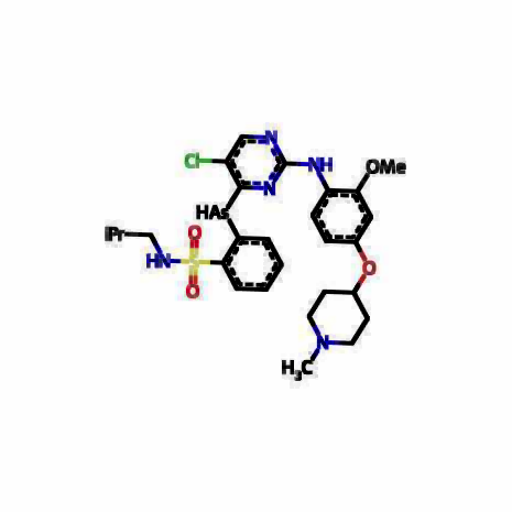 COc1cc(OC2CCN(C)CC2)ccc1Nc1ncc(Cl)c([AsH]c2ccccc2S(=O)(=O)NCC(C)C)n1